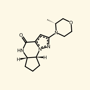 C[C@@H]1COCCN1c1cc2n(n1)[C@@H]1CCC[C@@H]1NC2=O